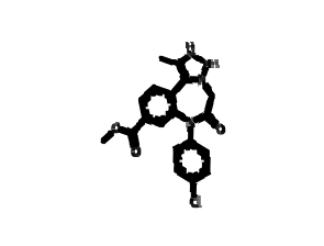 COC(=O)c1ccc2c(c1)N(c1ccc(Cl)cc1)C(=O)CN1NNC(C)=C21